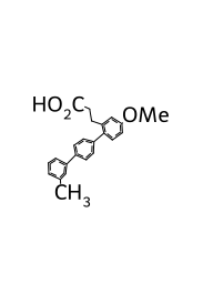 COc1ccc(-c2ccc(-c3cccc(C)c3)cc2)c(CCC(=O)O)c1